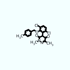 CC1=NN(C)C(=O)C(c2c(Cl)ccc(Cl)c2OCc2ccc(C)cc2)C1=O